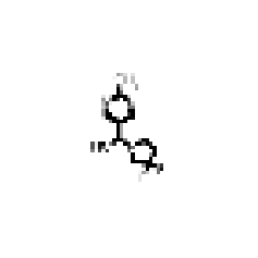 Cc1ncc(C(C#N)N2CCC(F)(F)C2)cn1